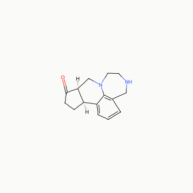 O=C1CC[C@@H]2c3cccc4c3N(CCNC4)C[C@H]12